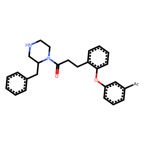 CC(=O)c1cccc(Oc2ccccc2CCC(=O)N2CCNCC2Cc2ccccc2)c1